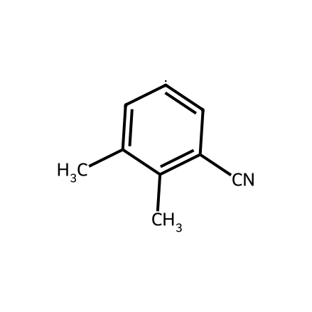 Cc1c[c]cc(C#N)c1C